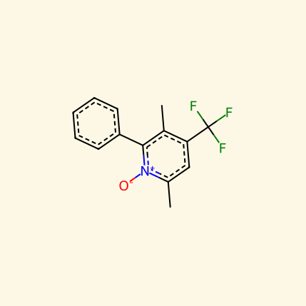 Cc1c(C(F)(F)F)cc(C)[n+]([O-])c1-c1ccccc1